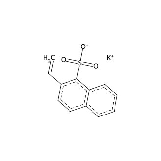 C=Cc1ccc2ccccc2c1S(=O)(=O)[O-].[K+]